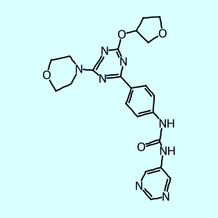 O=C(Nc1ccc(-c2nc(OC3CCOC3)nc(N3CCOCC3)n2)cc1)Nc1cncnc1